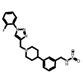 O=[SH](=O)NCc1cccc(C2CCN(Cc3cn(-c4ccccc4F)nn3)CC2)c1